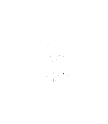 COc1ncncc1-c1ccc2c(=O)c3c(sc2c1)CC(C)(C)CC3